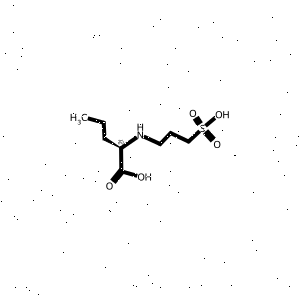 CCC[C@@H](NCCCS(=O)(=O)O)C(=O)O